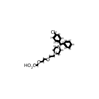 O=C(O)COCCOCCN1CCN(C(c2ccccc2)c2ccc(Cl)cc2)CC1